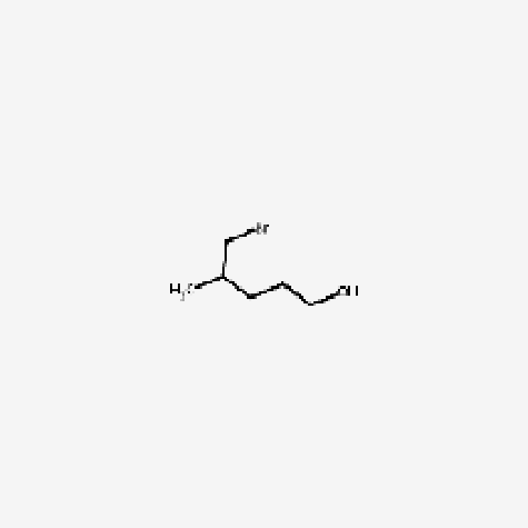 CC(CBr)CCCO